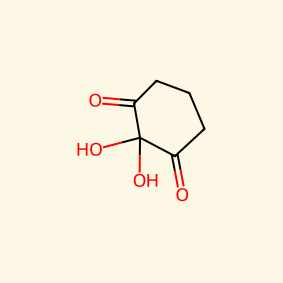 O=C1CCCC(=O)C1(O)O